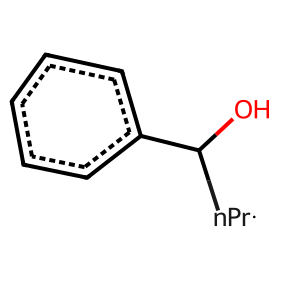 CC[CH]C(O)c1ccccc1